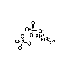 O=P([O-])([O-])[O-].O=P([O-])([O-])[O-].[Pt+2].[Pt+2].[Pt+2]